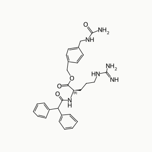 N=C(N)NCCC[C@@H](NC(=O)C(c1ccccc1)c1ccccc1)C(=O)OCc1ccc(CNC(N)=O)cc1